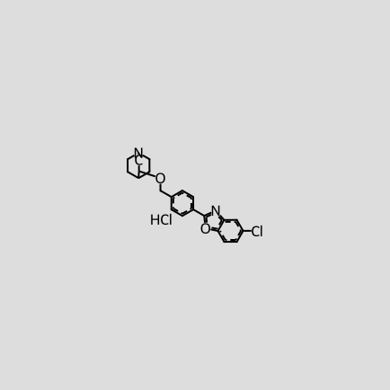 Cl.Clc1ccc2oc(-c3ccc(COC4CN5CCC4CC5)cc3)nc2c1